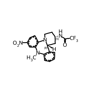 CN1c2ccccc2[C@H]2C[C@@H](NC(=O)C(F)(F)F)CCN2c2ccc([N+](=O)[O-])cc21